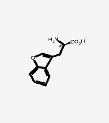 N[C@H](Cc1coc2ccccc12)C(=O)O